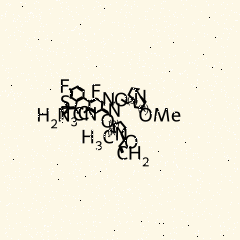 C=CC(=O)N1CC[C@@H](Oc2nc(OC[C@@]34CCCN3C[C@H](OC)C4)nc3c(F)c(-c4ccc(F)c5sc(N)c(C#N)c45)c(C(F)(F)F)cc23)[C@H]1C